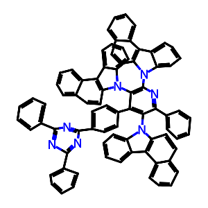 c1ccc(-c2nc(-c3ccccc3)nc(-c3ccc(-c4c(-n5c6ccccc6c6c7ccccc7ccc65)c(-c5ccccc5)nc(-n5c6ccccc6c6c7ccccc7ccc65)c4-n4c5ccccc5c5c6ccccc6ccc54)cc3)n2)cc1